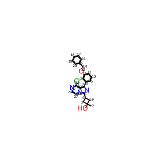 CC1(O)CC(c2nc(-c3cccc(OCc4ccccc4)c3)c3c(Cl)nccn23)C1